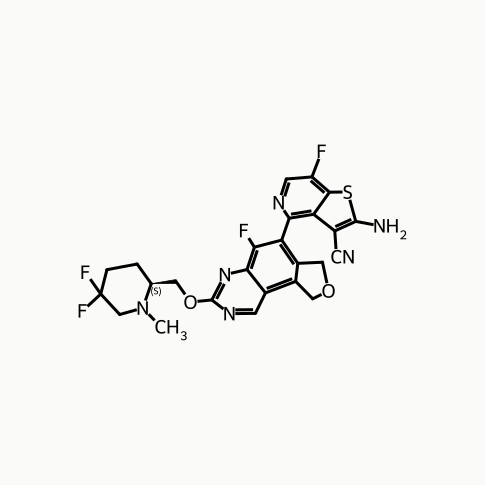 CN1CC(F)(F)CC[C@H]1COc1ncc2c3c(c(-c4ncc(F)c5sc(N)c(C#N)c45)c(F)c2n1)COC3